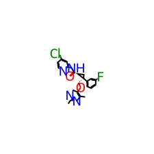 Cc1ncc(OC[C@@]2(c3cccc(F)c3)C[C@H]2C(=O)Nc2cc(Cl)ccn2)c(C)n1